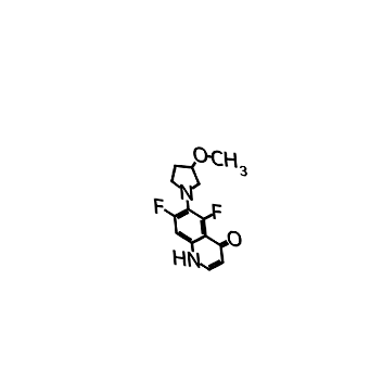 COC1CCN(c2c(F)cc3[nH]ccc(=O)c3c2F)C1